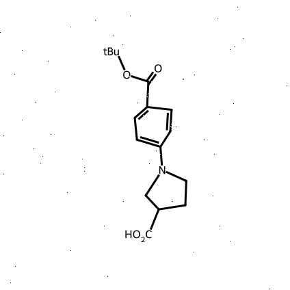 CC(C)(C)OC(=O)c1ccc(N2CCC(C(=O)O)C2)cc1